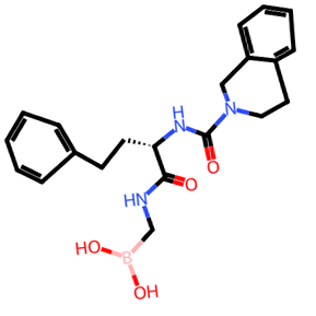 O=C(NCB(O)O)[C@H](CCc1ccccc1)NC(=O)N1CCc2ccccc2C1